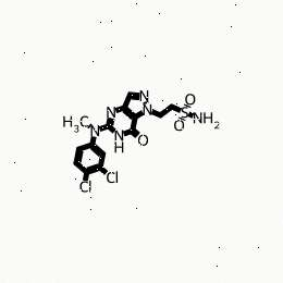 CN(c1ccc(Cl)c(Cl)c1)c1nc2cnn(CCS(N)(=O)=O)c2c(=O)[nH]1